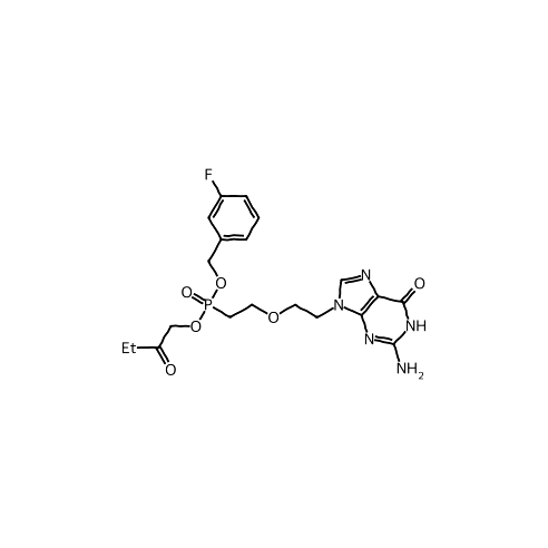 CCC(=O)COP(=O)(CCOCCn1cnc2c(=O)[nH]c(N)nc21)OCc1cccc(F)c1